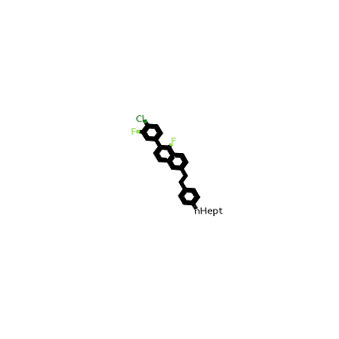 CCCCCCCc1ccc(CCc2ccc3c(F)c(-c4ccc(Cl)c(F)c4)ccc3c2)cc1